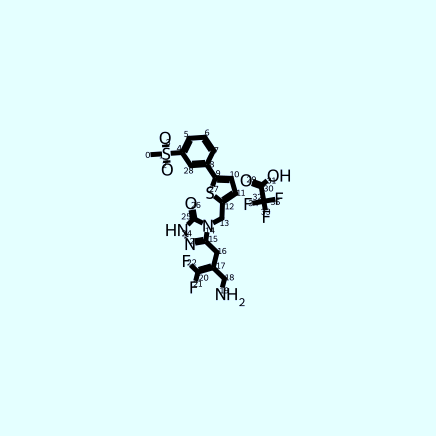 CS(=O)(=O)c1cccc(-c2ccc(Cn3c(CC(CN)=C(F)F)n[nH]c3=O)s2)c1.O=C(O)C(F)(F)F